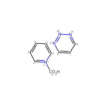 O=C(O)[n+]1ccccc1.c1cnnnc1